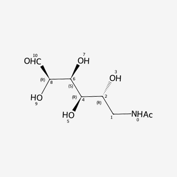 CC(=O)NC[C@@H](O)[C@@H](O)[C@H](O)[C@@H](O)C=O